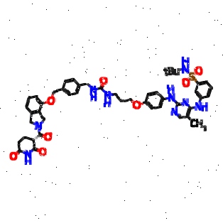 Cc1cnc(Nc2ccc(OCCCNC(=O)NCc3ccc(COc4cccc5c4CN(C(=O)[C@H]4CCC(=O)NC4=O)C5)cc3)cc2)nc1Nc1cccc(S(=O)(=O)NC(C)(C)C)c1